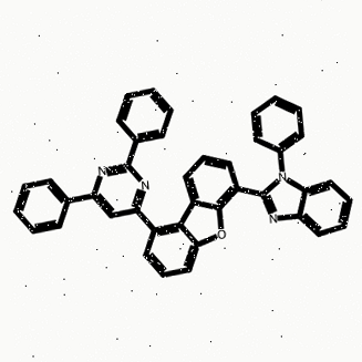 c1ccc(-c2cc(-c3cccc4oc5c(-c6nc7ccccc7n6-c6ccccc6)cccc5c34)nc(-c3ccccc3)n2)cc1